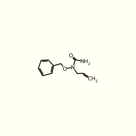 C=CCN(OCc1ccccc1)C(N)=O